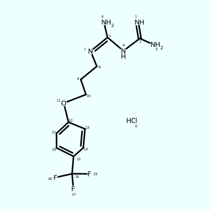 Cl.N=C(N)NC(N)=NCCCOc1ccc(C(F)(F)F)cc1